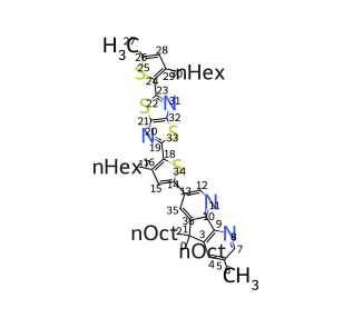 CCCCCCCCC1(CCCCCCCC)c2cc(C)cnc2-c2ncc(-c3cc(CCCCCC)c(-c4nc5sc(-c6sc(C)cc6CCCCCC)nc5s4)s3)cc21